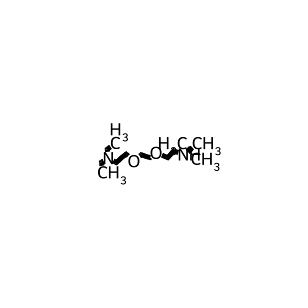 CCN(CC)CCOCCOCCNC(C)(C)C